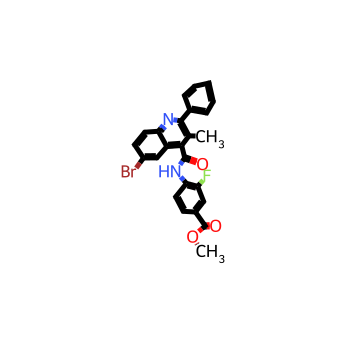 COC(=O)c1ccc(NC(=O)c2c(C)c(-c3ccccc3)nc3ccc(Br)cc23)c(F)c1